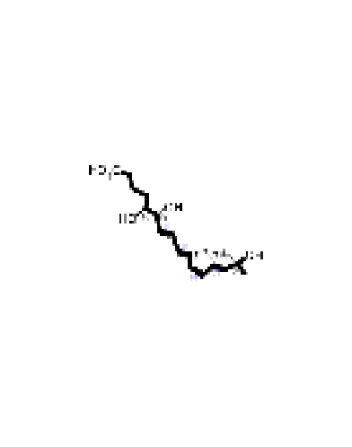 CCCCC[C@@](C)(O)/C=C/C=C\C=C\C=C\[C@@H](O)[C@@H](O)CCCC(=O)O